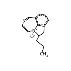 CCCC1Cc2cccc3c2[N+]1([O-])C=CN=C3